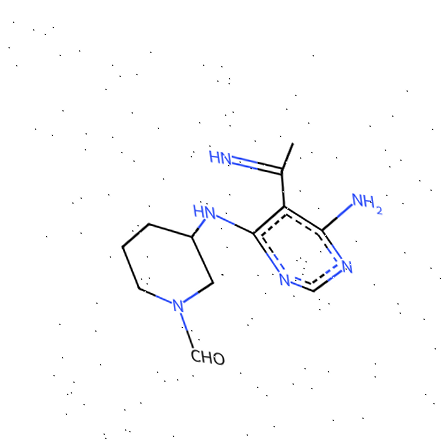 CC(=N)c1c(N)ncnc1NC1CCCN(C=O)C1